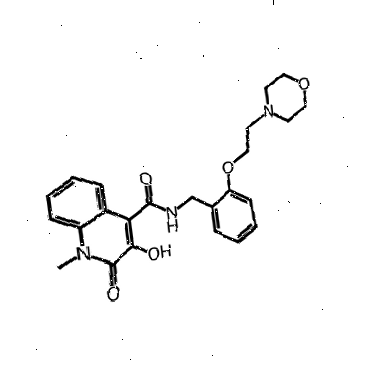 Cn1c(=O)c(O)c(C(=O)NCc2ccccc2OCCN2CCOCC2)c2ccccc21